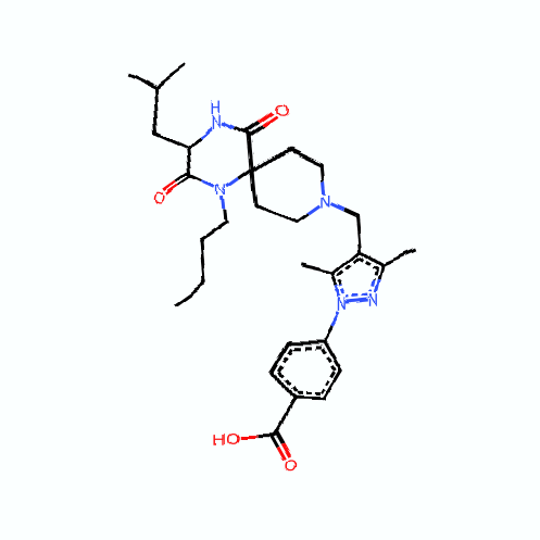 CCCCN1C(=O)C(CC(C)C)NC(=O)C12CCN(Cc1c(C)nn(-c3ccc(C(=O)O)cc3)c1C)CC2